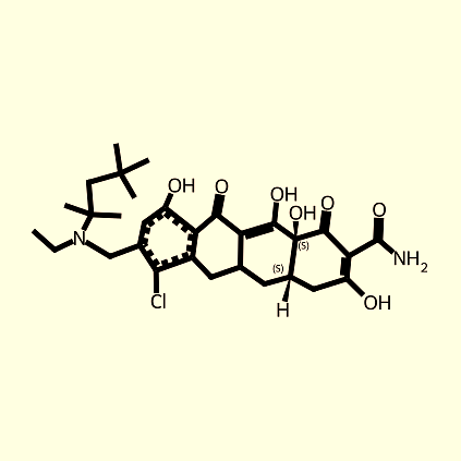 CCN(Cc1cc(O)c2c(c1Cl)CC1C[C@H]3CC(O)=C(C(N)=O)C(=O)[C@@]3(O)C(O)=C1C2=O)C(C)(C)CC(C)(C)C